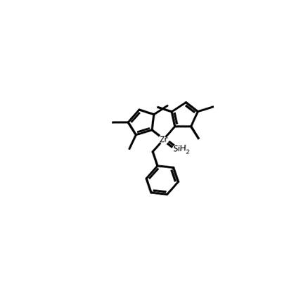 CC1=CC(C)[C]([Zr](=[SiH2])([CH2]c2ccccc2)[C]2=C(C)C=C(C)C2C)=C1C